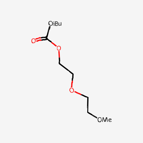 COCCOCCOC(=O)OCC(C)C